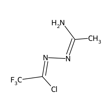 C/C(N)=N/N=C(\Cl)C(F)(F)F